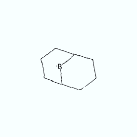 [B]1[C]2CCCC1CCC2